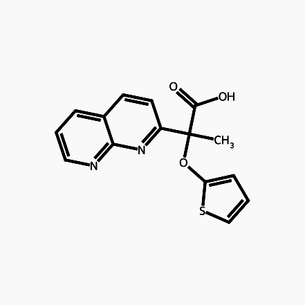 CC(Oc1cccs1)(C(=O)O)c1ccc2cccnc2n1